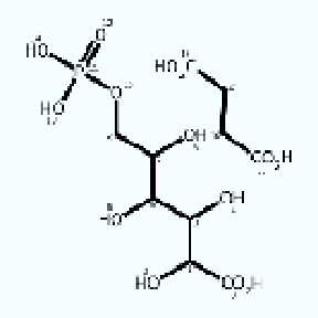 O=C(O)C(O)C(O)C(O)C(O)COP(=O)(O)O.O=C(O)CCC(=O)O